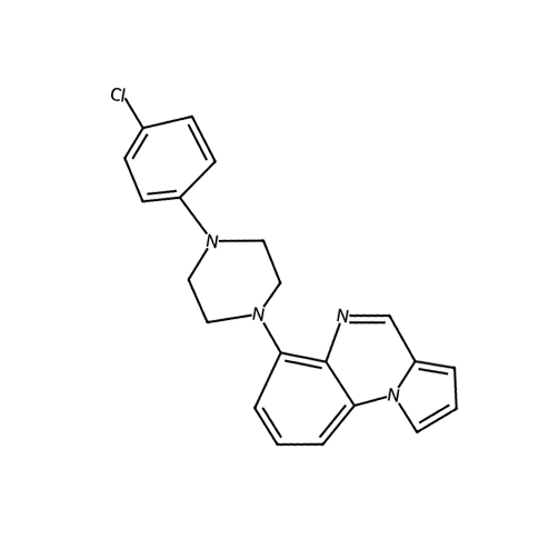 Clc1ccc(N2CCN(c3cccc4c3ncc3cccn34)CC2)cc1